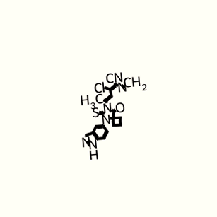 C=N/C(C#N)=C(Cl)\C=C(/C)N1C(=O)C2(CCC2)N(c2ccc3[nH]ncc3c2)C1=S